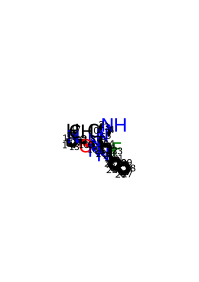 CC1CNCCN1c1nc(OCC2CCCN2C)nc2nc(-c3ccc4ccccc4c3)c(F)cc12